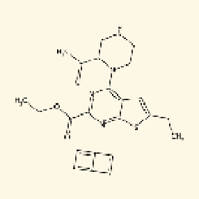 CCOC(=O)c1nc(N2CCNCC2C(C)=O)c2cc(CC)sc2n1.c1cc2ccc1-2